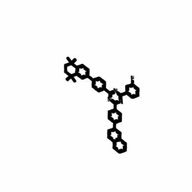 CC1(C)CCC(C)(C)c2cc(-c3ccc(-c4nc(-c5ccc(-c6ccc7ccccc7c6)cc5)nc(-c5cccc(F)c5)n4)cc3)ccc21